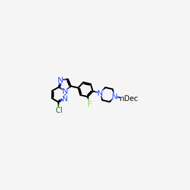 CCCCCCCCCCN1CCN(c2ccc(-c3cnc4ccc(Cl)nn34)cc2F)CC1